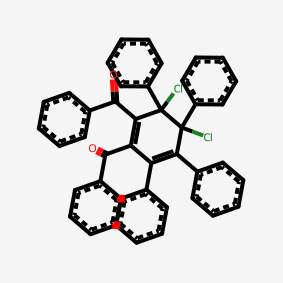 O=C(C1=C(C(=O)c2ccccc2)C(Cl)(c2ccccc2)C(Cl)(c2ccccc2)C(c2ccccc2)=C1c1ccccc1)c1ccccc1